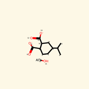 CC(C)C1CCC(C(=O)[O-])C(C(=O)[O-])C1.[OH][Al+2]